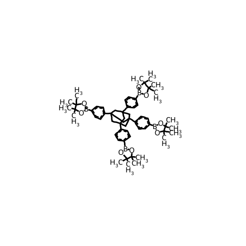 CC1(C)OB(c2ccc(C34CC5(c6ccc(B7OC(C)(C)C(C)(C)O7)cc6)CC(c6ccc(B7OC(C)(C)C(C)(C)O7)cc6)(C3)CC(c3ccc(B6OC(C)(C)C(C)(C)O6)cc3)(C4)C5)cc2)OC1(C)C